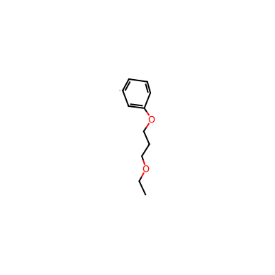 CCOCCCOc1c[c]ccc1